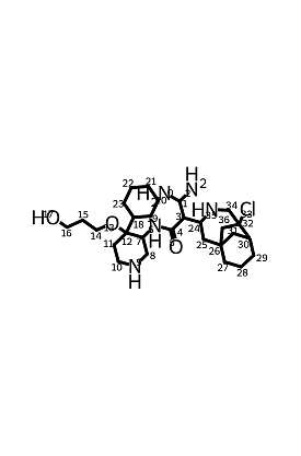 NC(N)C(C(=O)NC1CNCCC1(OCCCO)C1CCCCC1)C1CC23CCCC(C2)C(Cl)(CN1)C3